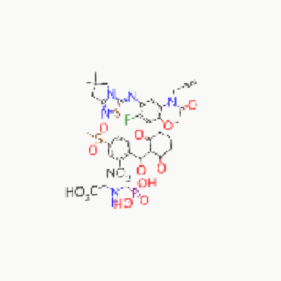 C#CCN1C(=O)COc2cc(F)c(/N=c3\snc4n3CC(C)(C)C4)cc21.CS(=O)(=O)c1ccc(C(=O)C2C(=O)CCCC2=O)c([N+](=O)[O-])c1.O=C(O)CNCP(=O)(O)O